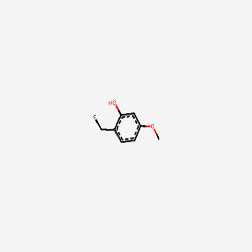 COc1ccc([CH2][K])c(O)c1